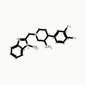 CC1CN(Cc2nc3ccccc3n2C)CCC1c1ccc(F)c(F)c1